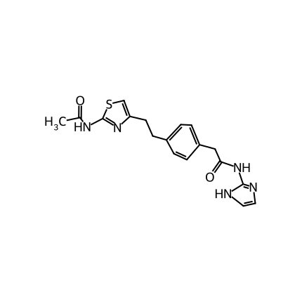 CC(=O)Nc1nc(CCc2ccc(CC(=O)Nc3ncc[nH]3)cc2)cs1